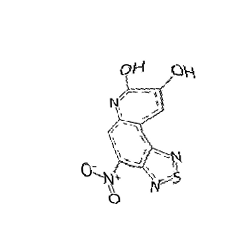 O=[N+]([O-])c1cc2nc(O)c(O)cc2c2nsnc12